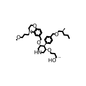 CCC[C@H](C)COCc1ccc([C@@H]2[C@@H](OCc3ccc4c(c3)N(CCCOC)CCO4)CNC[C@H]2OCC[C@H](C)O)cc1